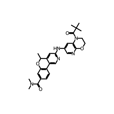 CC1Oc2cc(C(=O)N(C)C)ccc2-c2cnc(Nc3cnc4c(c3)N(C(=O)C(C)(C)C)CCO4)cc21